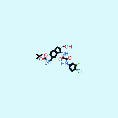 CN(Cc1ccc2c(c1)[C@H](NC(=O)C(=O)Nc1ccc(Cl)c(F)c1)[C@@H](CO)C2)C(=O)OC(C)(C)C